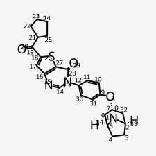 CN1[C@@H]2CC[C@H]1C[C@H](Oc1ccc(-n3cnc4cc(C(=O)C5CCCC5)sc4c3=O)cc1)C2